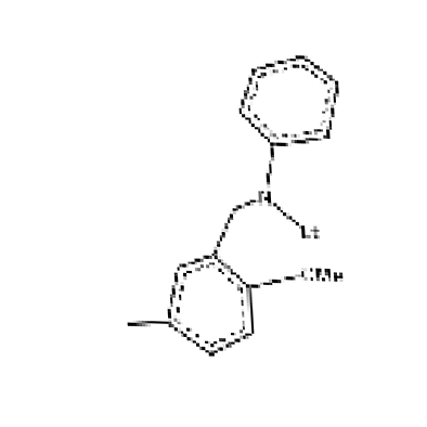 CCN(Cc1cc(C)ccc1OC)c1ccccc1